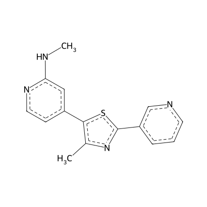 CNc1cc(-c2sc(-c3cccnc3)nc2C)ccn1